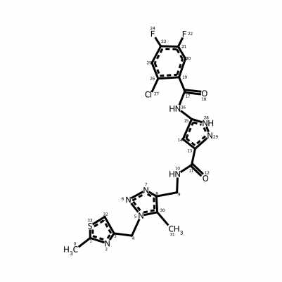 Cc1nc(Cn2nnc(CNC(=O)c3cc(NC(=O)c4cc(F)c(F)cc4Cl)[nH]n3)c2C)cs1